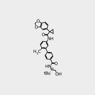 Cc1ccc(NC(=O)C2(c3ccc4c(c3)OCO4)CC2)cc1-c1ccc(C(=O)N[C@H](CO)C(C)(C)C)cc1